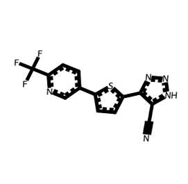 N#Cc1[nH]nnc1-c1ccc(-c2ccc(C(F)(F)F)nc2)s1